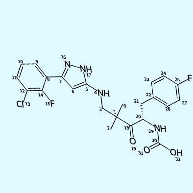 CC(C)(CNc1cc(-c2cccc(Cl)c2F)n[nH]1)C(=O)[C@H](Cc1ccc(F)cc1)NC(=O)O